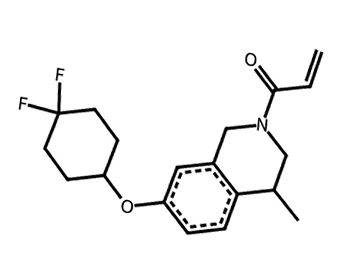 C=CC(=O)N1Cc2cc(OC3CCC(F)(F)CC3)ccc2C(C)C1